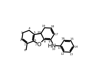 CC1=CCCC2=C1OC1=C(Nc3ccccc3)C=CCC21